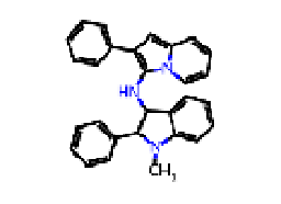 CN1c2ccccc2C(Nc2c(-c3ccccc3)cc3ccccn23)C1c1ccccc1